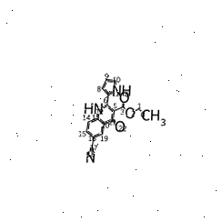 CCOC(=O)c1c(-c2ccc[nH]2)[nH]c2ccc(C#N)cc2c1=O